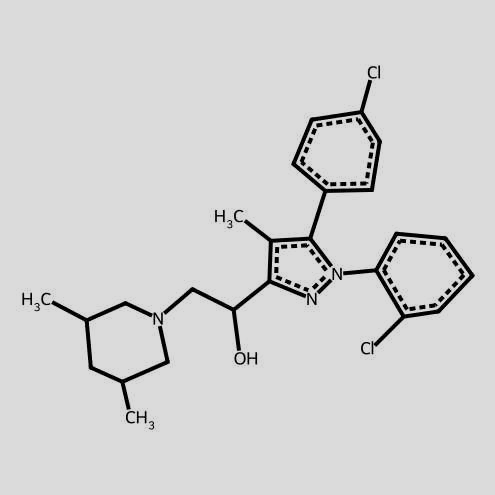 Cc1c(C(O)CN2CC(C)CC(C)C2)nn(-c2ccccc2Cl)c1-c1ccc(Cl)cc1